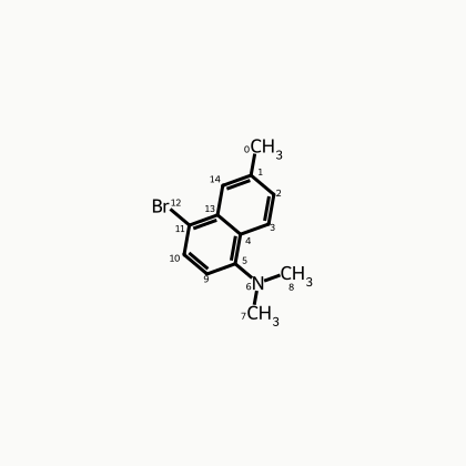 Cc1ccc2c(N(C)C)ccc(Br)c2c1